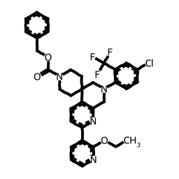 CCOc1ncccc1-c1ccc2c(n1)CN(c1ccc(Cl)cc1C(F)(F)F)CC21CCN(C(=O)OCc2ccccc2)CC1